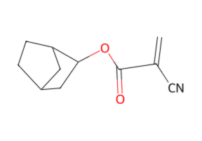 C=C(C#N)C(=O)OC1CC2CCC1C2